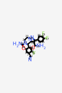 N#Cc1ccc(C2c3c(C(N)=O)c(-c4ccc(F)c(F)c4)nn3CCN2C(N)=O)cc1F